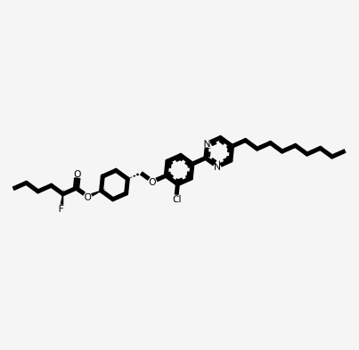 CCCCCCCCCc1cnc(-c2ccc(OC[C@H]3CC[C@H](OC(=O)[C@@H](F)CCCC)CC3)c(Cl)c2)nc1